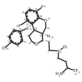 NC(CC[S+]([O-])CC[C@@H]1OCC[C@@]2(Sc3ccc(Cl)cc3)c3c(F)ccc(F)c3OC[C@@H]12)C(F)(F)F